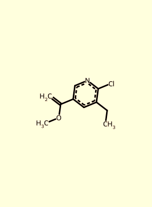 C=C(OC)c1cnc(Cl)c(CC)c1